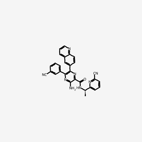 C[C@@H](NC(=O)c1nc(-c2ccc3ncccc3c2)c(-c2cccc(C#N)c2)nc1N)c1cccc(C#N)n1